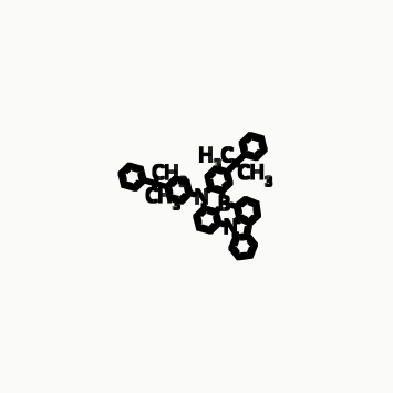 CC(C)(c1ccccc1)c1ccc(N2c3ccc(C(C)(C)c4ccccc4)cc3B3c4c2cccc4-n2c4ccccc4c4cccc3c42)cc1